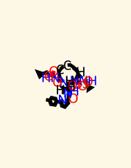 Cc1ccc(-c2cccc(C(=O)N3C[C@H]4CN5C(=O)[C@@H](NC(=O)OCC6CC6)CCCCC/C=C\[C@H]6C[C@@]6(C(=O)NS(=O)(=O)C6CC6)NC(=O)[C@@H]5[C@H]4C3)n2)cc1